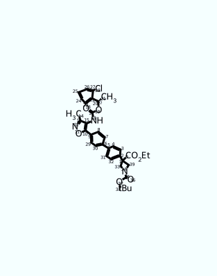 CCOC(=O)C1(c2ccc(-c3ccc(-c4onc(C)c4NC(=O)O[C@H](C)c4ccccc4Cl)cc3)cc2)CN(C(=O)OC(C)(C)C)C1